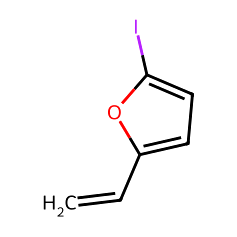 C=Cc1ccc(I)o1